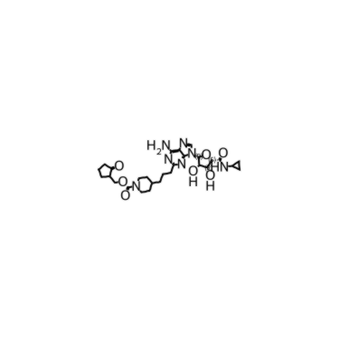 Nc1nc(CCCC2CCN(C(=O)OCC3CCCC3=O)CC2)nc2c1ncn2[C@@H]1O[C@H](C(=O)NC2CC2)[C@H](O)C1O